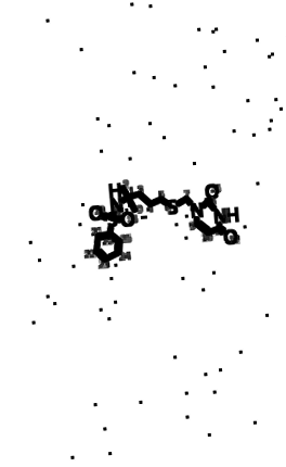 CC(C)(CCCSCn1ccc(=O)[nH]c1=O)NS(=O)(=O)c1ccccc1